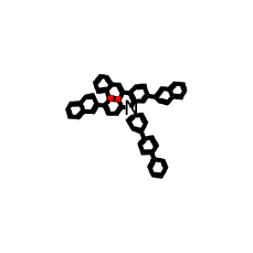 c1ccc(-c2ccc(-c3ccc(N(c4ccc(-c5ccc6ccccc6c5)cc4)c4cc(-c5ccc6ccccc6c5)ccc4-c4ccc5ccccc5c4)cc3)cc2)cc1